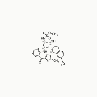 COS(=O)(=O)N[C@@H]1C[C@@H](Nc2ncncc2C(=O)c2cc([C@@H]3OCCc4ccc(C5CC5)cc43)c(C)s2)C[C@@H]1O